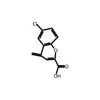 C=C1C=C(C(=O)O)Oc2ccc(Cl)cc21